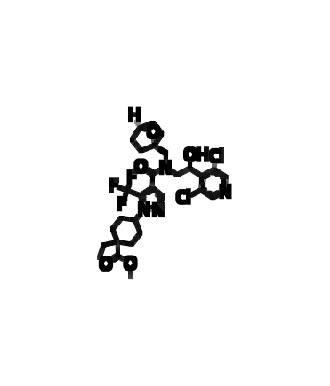 CCC1(C(=O)OC)CCC(n2ncc(C(=O)N(CC(O)c3c(Cl)cncc3Cl)C[C@]34CC[C@@H](CC3)O4)c2C(F)(F)F)CC1